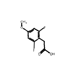 COc1cc(F)c(CC(=O)O)c(F)c1